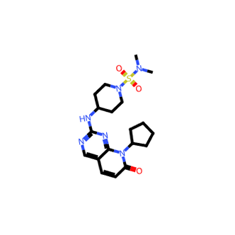 CN(C)S(=O)(=O)N1CCC(Nc2ncc3ccc(=O)n(C4CCCC4)c3n2)CC1